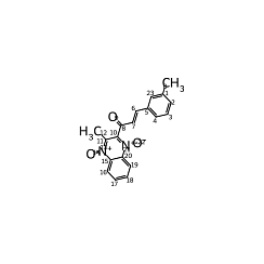 Cc1cccc(C=CC(=O)c2c(C)[n+]([O-])c3ccccc3[n+]2[O-])c1